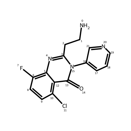 NCCc1nc2c(F)ccc(Cl)c2c(=O)n1-c1cccnc1